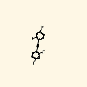 Fc1ccc(C#Cc2ccc(F)cc2F)c(F)c1